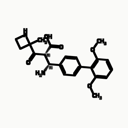 COc1cccc(OC)c1-c1ccc([C@H](N)[C@@H](C(=O)O)C(=O)C2(C)CCN2)cc1